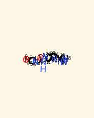 COC1CCN(CC(=O)Nc2cc3nc(-c4cn(C)nn4)ccc3cn2)CC1